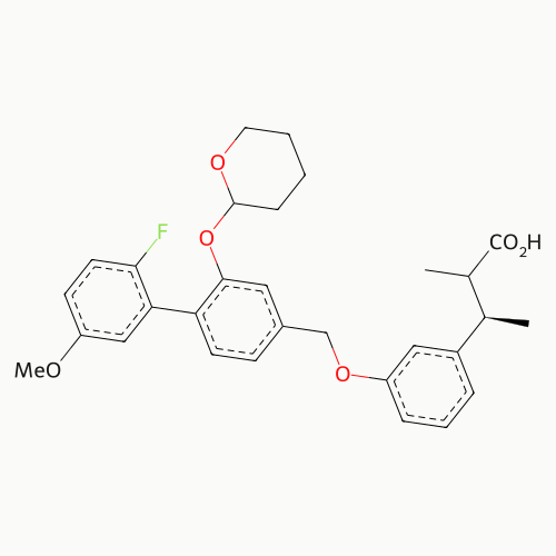 COc1ccc(F)c(-c2ccc(COc3cccc([C@H](C)C(C)C(=O)O)c3)cc2OC2CCCCO2)c1